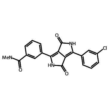 CNC(=O)c1cccc(C2=C3C(=O)NC(c4cccc(Cl)c4)=C3C(=O)N2)c1